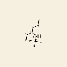 CCCC(CC)NC(C)(C)C